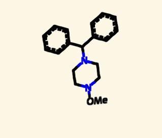 CON1CCN(C(c2ccccc2)c2ccccc2)CC1